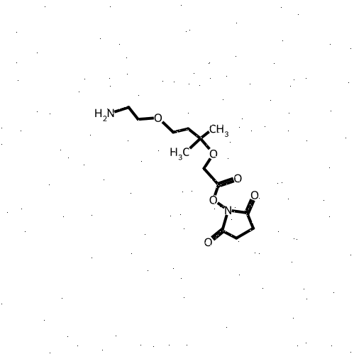 CC(C)(CCOCCN)OCC(=O)ON1C(=O)CCC1=O